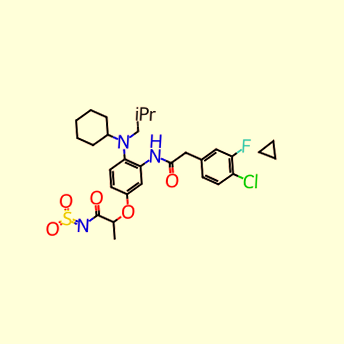 C1CC1.CC(C)CN(c1ccc(OC(C)C(=O)N=S(=O)=O)cc1NC(=O)Cc1ccc(Cl)c(F)c1)C1CCCCC1